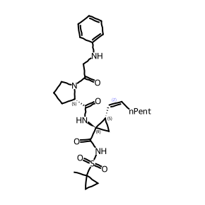 CCCCC/C=C\[C@@H]1C[C@]1(NC(=O)[C@@H]1CCCN1C(=O)CNc1ccccc1)C(=O)NS(=O)(=O)C1(C)CC1